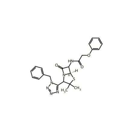 CC1(C)S[C@@H]2C(NC(=O)COc3ccccc3)C(=O)N2C1c1nnnn1Cc1ccccc1